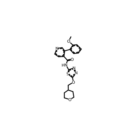 COc1ccccc1-c1cnccc1C(=O)Nc1nnc(OCC2CCOCC2)s1